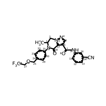 CC1Cn2ncc(C(=O)Nc3cccc(C#N)c3)c2C(=O)N1c1ccc(COCC(F)(F)F)cc1